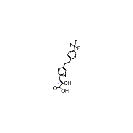 O=C(O)/C(O)=C/c1ccc(CCc2ccc(C(F)(F)F)cc2)cn1